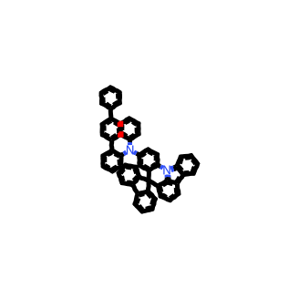 c1ccc(-c2ccc(-c3ccccc3N(c3ccccc3)c3ccc4c(c3)C3(c5ccccc5-c5ccccc53)c3cccc5c6ccccc6n-4c35)cc2)cc1